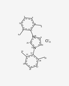 Cc1cccc(C)c1-n1cc[n+](-c2c(C)cccc2C)c1.[Cl-]